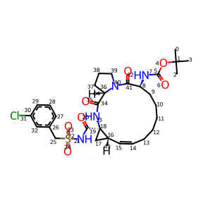 CC(C)(C)OC(=O)N[C@H]1CCCCC/C=C\[C@@H]2C[C@@]2(C(=O)NS(=O)(=O)Cc2cccc(Cl)c2)NC(=O)[C@@H]2CCCN2C1=O